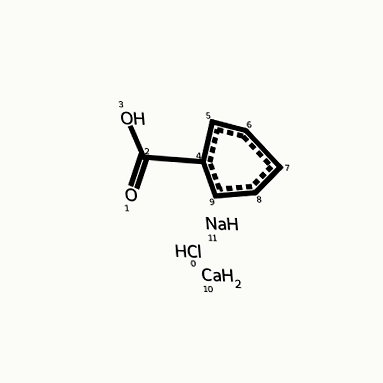 Cl.O=C(O)c1ccccc1.[CaH2].[NaH]